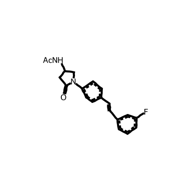 CC(=O)NC1CC(=O)N(c2ccc(C=Cc3cccc(F)c3)cc2)C1